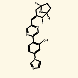 Oc1cc(-n2ccnc2)ccc1-c1cnc(/C=C2/C[C@@H]3CC[C@@H](N3)[C@H]2F)cn1